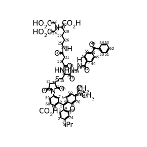 CC(C)c1ccc2c(-c3cc(N4C(=O)CC(SCC(NC(=O)CCC(=O)NCCCCC(C(=O)O)N(CC(=O)O)CC(=O)O)C(=O)NCNC(=O)c5ccc(C(=O)c6ccccc6)cc5)C4=O)ccc3C(=O)O)c3ccc(=[N+](C)C)cc-3oc2c1